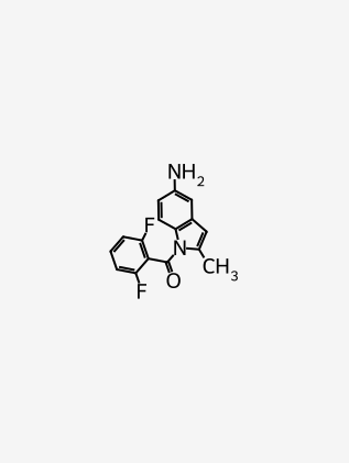 Cc1cc2cc(N)ccc2n1C(=O)c1c(F)cccc1F